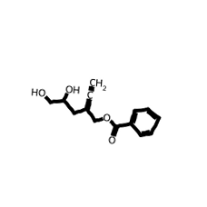 C=C=C(COC(=O)c1ccccc1)CC(O)CO